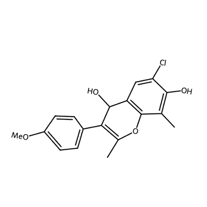 COc1ccc(C2=C(C)Oc3c(cc(Cl)c(O)c3C)C2O)cc1